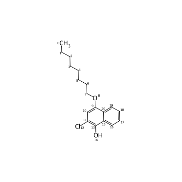 CCCCCCCCOc1cc(Cl)c(O)c2ccccc12